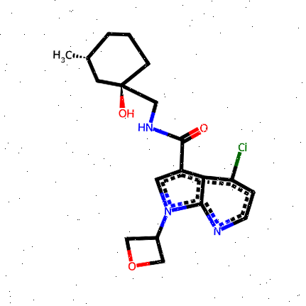 C[C@@H]1CCC[C@](O)(CNC(=O)c2cn(C3COC3)c3nccc(Cl)c23)C1